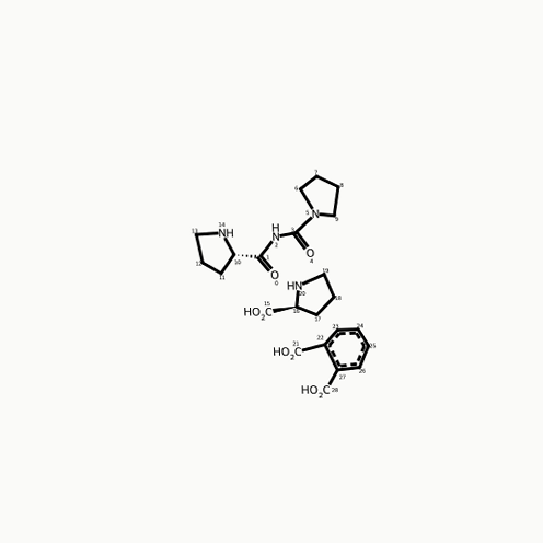 O=C(NC(=O)N1CCCC1)[C@@H]1CCCN1.O=C(O)[C@@H]1CCCN1.O=C(O)c1ccccc1C(=O)O